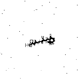 C/C(=C\C(=O)O)CC/C=C(\C)CCC1C(C)CCCC1(C)C